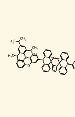 CC(C)c1cc(C(C)C)c(B2c3ccccc3Sc3cc(N4c5ccccc5C5(c6ccccc64)c4ccccc4C4(c6ccccc6N(c6ccccc6)c6ccccc64)c4ccccc45)ccc32)c(C(C)C)c1